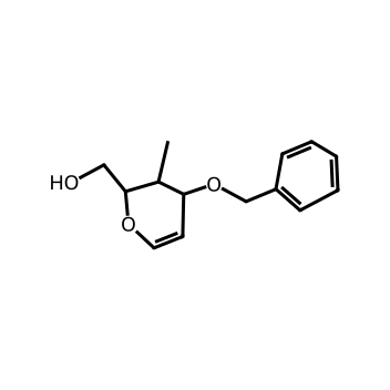 CC1C(OCc2ccccc2)C=COC1CO